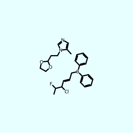 CC(F)C(Cl)C=CCB(c1ccccc1)c1ccccc1.Cc1cncn1CCC1OCCO1